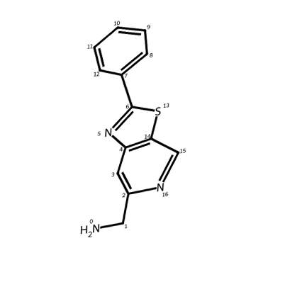 NCc1cc2nc(-c3ccccc3)sc2cn1